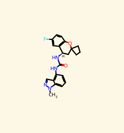 Cn1ncc2c(NC(=O)N[C@@H]3CC4(CCC4)Oc4ccc(F)cc43)cccc21